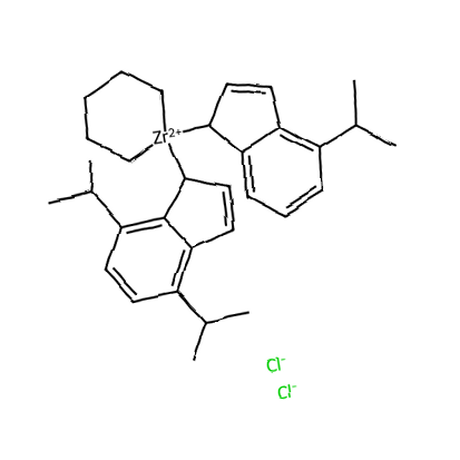 CC(C)c1cccc2c1C=C[CH]2[Zr+2]1([CH]2C=Cc3c(C(C)C)ccc(C(C)C)c32)[CH2]CCC[CH2]1.[Cl-].[Cl-]